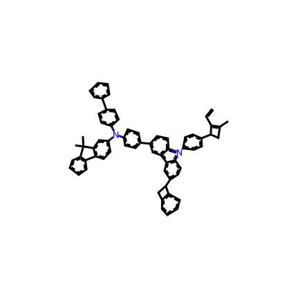 C=CC1=C(C)CC1c1ccc(-n2c3ccc(-c4ccc(N(c5ccc(-c6ccccc6)cc5)c5ccc6c(c5)C(C)(C)c5ccccc5-6)cc4)cc3c3cc(C4Cc5ccccc54)ccc32)cc1